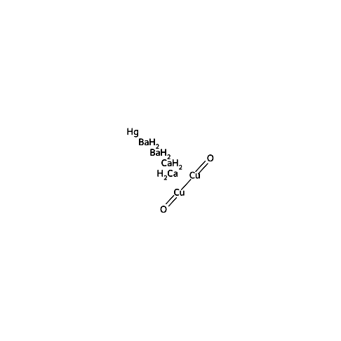 [BaH2].[BaH2].[CaH2].[CaH2].[Hg].[O]=[Cu][Cu]=[O]